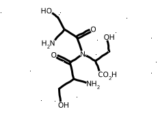 NC(CO)C(=O)N(C(=O)C(N)CO)C(CO)C(=O)O